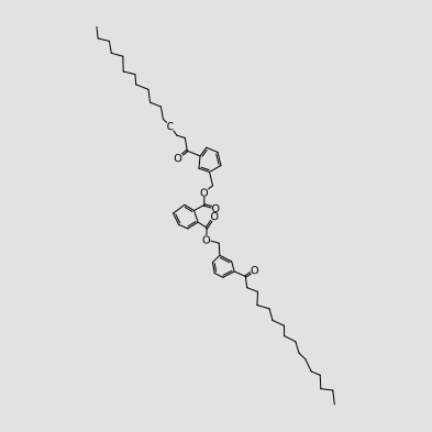 CCCCCCCCCCCCCCCC(=O)c1cccc(COC(=O)c2ccccc2C(=O)OCc2cccc(C(=O)CCCCCCCCCCCCCCC)c2)c1